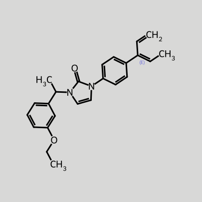 C=C/C(=C\C)c1ccc(-n2ccn(C(C)c3cccc(OCC)c3)c2=O)cc1